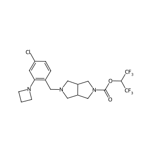 O=C(OC(C(F)(F)F)C(F)(F)F)N1CC2CN(Cc3ccc(Cl)cc3N3CCC3)CC2C1